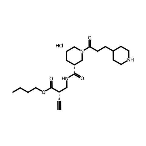 C#C[C@@H](CNC(=O)[C@@H]1CCCN(C(=O)CCC2CCNCC2)C1)C(=O)OCCCC.Cl